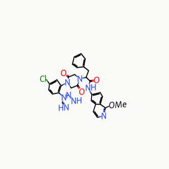 COc1nccc2cc(NC(=O)C(Cc3ccccc3)N3CC(=O)N(c4cc(Cl)ccc4N(C=N)N=N)CC3=O)ccc12